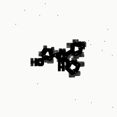 Oc1cccc(-c2nc(-c3ccncc3)c(-c3ccccc3)[nH]2)c1